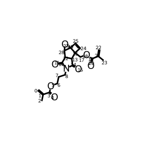 C=C(C)C(=O)OCCCN1C(=O)C2C(C1=O)C1(COC(=O)C(=C)C)C=CC13OC23